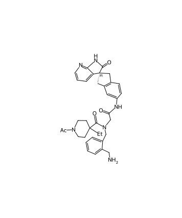 CCC1(C(=O)N(CC(=O)Nc2ccc3c(c2)C[C@@]2(C3)C(=O)Nc3ncccc32)Cc2ccccc2CN)CCN(C(C)=O)CC1